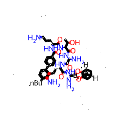 CCCCc1ccc(-c2ccc(C(=O)N[C@@H](CCCN)C(=O)N[C@H](C(=O)N[C@@H](N)C(=O)N[C@@H](CCCCN)C(=O)N[C@@H](N)B3OC4C[C@@H]5C[C@@H](C5(C)C)[C@]4(C)O3)C(C)O)cc2)cc1